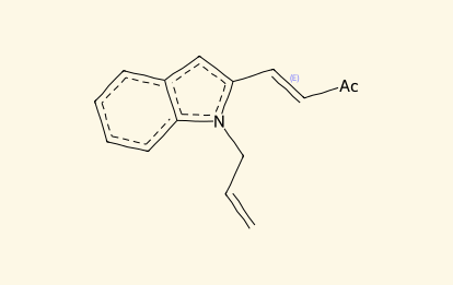 C=CCn1c(/C=C/C(C)=O)cc2ccccc21